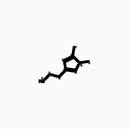 Cc1cc(CCO)cn1C